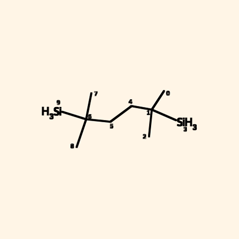 CC(C)([SiH3])CCC(C)(C)[SiH3]